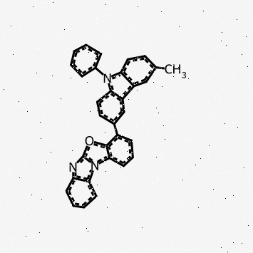 Cc1ccc2c(c1)c1cc(-c3cccc4c3oc3nc5ccccc5n34)ccc1n2-c1ccccc1